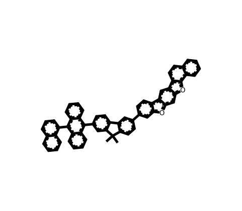 CC1(C)c2ccc(-c3ccc4c(c3)oc3cc5oc6c7ccccc7ccc6c5cc34)cc2-c2ccc(-c3c4ccccc4c(-c4cccc5ccccc45)c4ccccc34)cc21